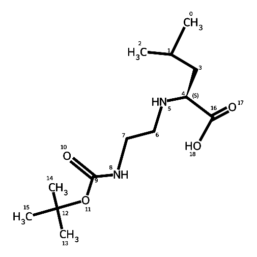 CC(C)C[C@H](NCCNC(=O)OC(C)(C)C)C(=O)O